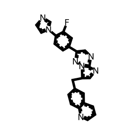 Fc1cc(-c2cnc3ncc(Cc4ccc5ncccc5c4)n3n2)ccc1-n1ccnc1